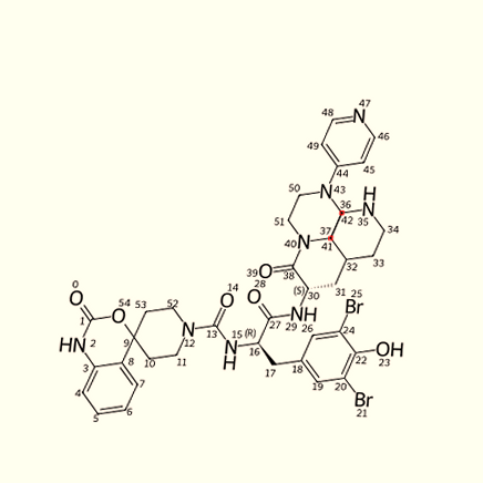 O=C1Nc2ccccc2C2(CCN(C(=O)N[C@H](Cc3cc(Br)c(O)c(Br)c3)C(=O)N[C@@H](CC3CCNCC3)C(=O)N3CCN(c4ccncc4)CC3)CC2)O1